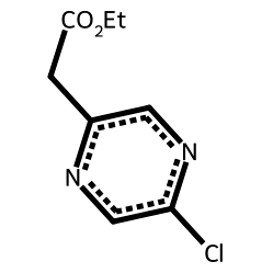 CCOC(=O)Cc1cnc(Cl)cn1